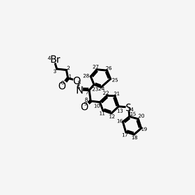 O=C(CCBr)O/N=C(/C(=O)c1ccc(Sc2ccccc2)cc1)c1ccccc1